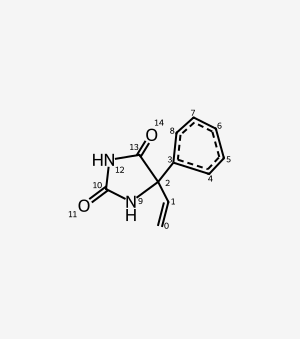 C=CC1(c2ccccc2)NC(=O)NC1=O